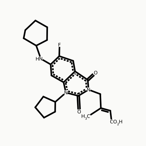 C/C(=C\C(=O)O)Cn1c(=O)c2cc(F)c(NC3CCCCC3)cc2n(C2CCCC2)c1=O